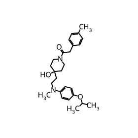 Cc1ccc(CC(=O)N2CCC(O)(CCN(C)c3ccc(OC(C)C)cc3)CC2)cc1